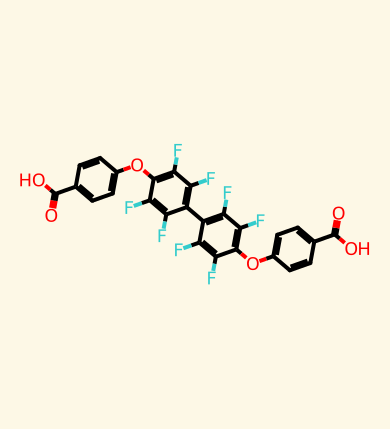 O=C(O)c1ccc(Oc2c(F)c(F)c(-c3c(F)c(F)c(Oc4ccc(C(=O)O)cc4)c(F)c3F)c(F)c2F)cc1